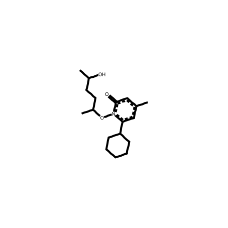 Cc1cc(C2CCCCC2)n(OC(C)CCC(C)O)c(=O)c1